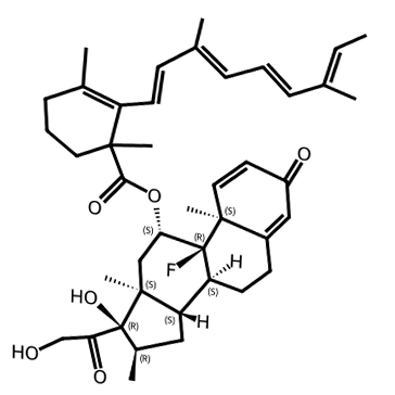 CC=C(C)C=CC=C(C)C=CC1=C(C)CCCC1(C)C(=O)O[C@H]1C[C@@]2(C)[C@@H](C[C@@H](C)[C@]2(O)C(=O)CO)[C@@H]2CCC3=CC(=O)C=C[C@]3(C)[C@@]12F